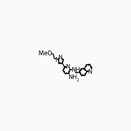 COCCn1cc(-c2ccc(N)c(NCc3ccc4ncccc4c3)n2)cn1